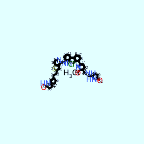 COc1nc(-c2cccc(-c3cccc(Nc4nccc5sc(CCC6CCC7(CCC(=O)N7)C6)cc45)c3Cl)c2Cl)ccc1CNCC1CCC(=O)N1